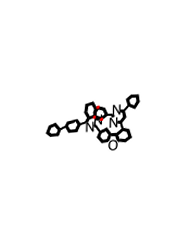 c1ccc(-c2ccc(-c3nc(-c4ccc5oc6cccc(-c7cc(-c8ccccc8)nc(-c8ccccc8)n7)c6c5c4)nc4ccccc34)cc2)cc1